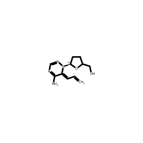 C=C/C=C1/C(N)=NC=NN1[C@H]1CCC(CO)O1